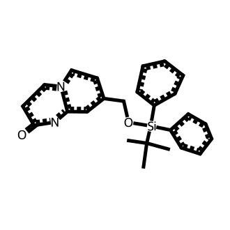 CC(C)(C)[Si](OCc1ccn2ccc(=O)nc2c1)(c1ccccc1)c1ccccc1